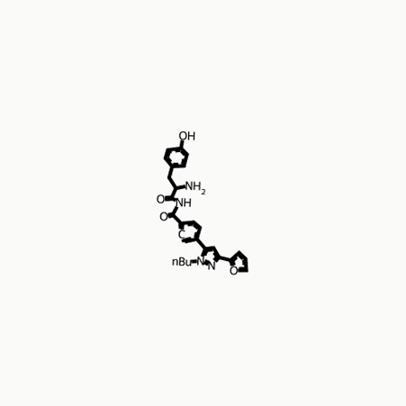 CCCCn1nc(-c2ccco2)cc1-c1ccc(C(=O)NC(=O)C(N)Cc2ccc(O)cc2)cc1